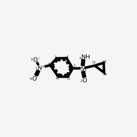 N=S(=O)(c1ccc([N+](=O)[O-])cc1)C1CC1